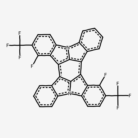 Fc1c(C(F)(F)F)ccc2c1c1c3c4ccccc4n4c5ccc(C(F)(F)F)c(F)c5c(c5c6ccccc6n2c51)c34